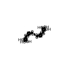 O=C(OCCOC(=O)c1cccc(OC(=O)c2cc(O)c(O)c(O)c2)c1)c1cccc(OC(=O)c2cc(O)c(O)c(O)c2)c1